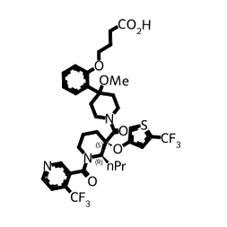 CCC[C@H]1N(C(=O)c2cnccc2C(F)(F)F)CCC[C@@]1(Oc1csc(C(F)(F)F)c1)C(=O)N1CCC(OC)(c2ccccc2OCCCC(=O)O)CC1